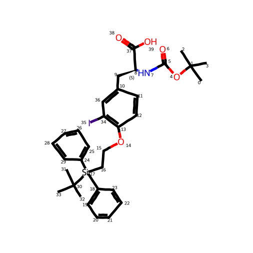 CC(C)(C)OC(=O)N[C@@H](Cc1ccc(OCC[Si](c2ccccc2)(c2ccccc2)C(C)(C)C)c(I)c1)C(=O)O